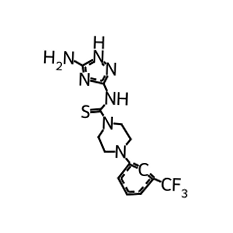 Nc1nc(NC(=S)N2CCN(c3cccc(C(F)(F)F)c3)CC2)n[nH]1